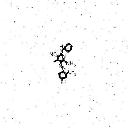 Cc1c(C#N)c(Nc2ccccc2)nc(N)c1/N=N/c1ccc(F)cc1C(F)(F)F